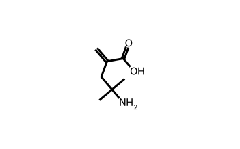 C=C(CC(C)(C)N)C(=O)O